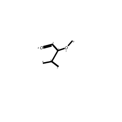 COC(C=O)C(C)C